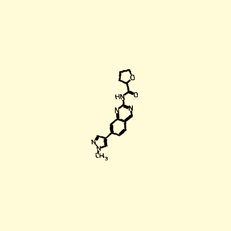 Cn1cc(-c2ccc3cnc(NC(=O)C4CCCO4)nc3c2)cn1